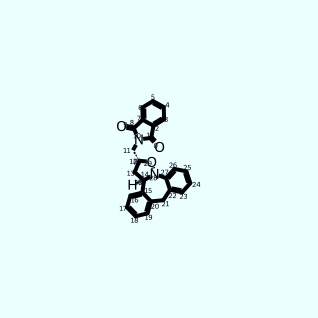 O=C1c2ccccc2C(=O)N1C[C@H]1C[C@@H]2c3ccccc3Cc3ccccc3N2O1